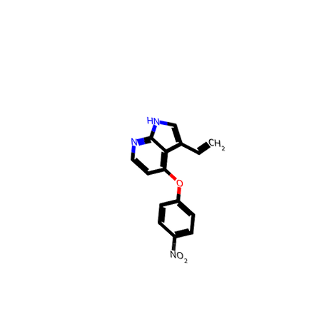 C=Cc1c[nH]c2nccc(Oc3ccc([N+](=O)[O-])cc3)c12